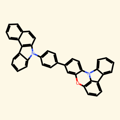 c1ccc2c(c1)ccc1c2c2ccccc2n1-c1ccc(-c2ccc3c(c2)Oc2cccc4c5ccccc5n-3c24)cc1